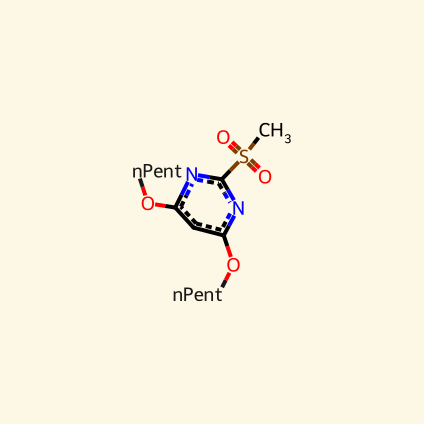 CCCCCOc1cc(OCCCCC)nc(S(C)(=O)=O)n1